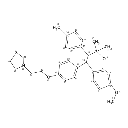 COc1ccc2c(c1)OC(C)(C)C(c1ccc(C)cc1)C2c1ccc(OCCN2CCCC2)cc1